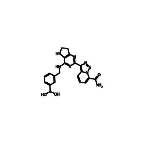 NC(=O)c1cccc2c(-c3nc4c(c(NCc5cccc(B(O)O)c5)n3)NCC4)nnn12